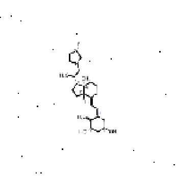 C=C1/C(=C\C=C2/CCC[C@]3(C)[C@@H](C(C)CN4CC[C@H](F)C4)CC[C@@H]23)C[C@@H](O)C[C@@H]1O